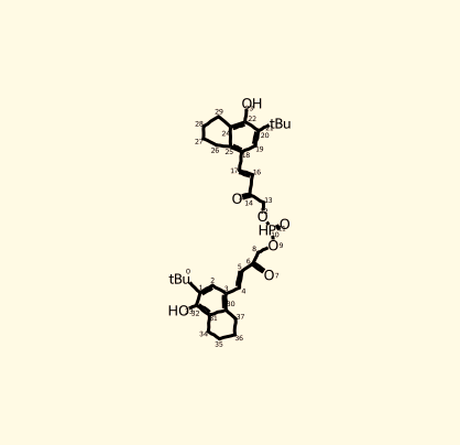 CC(C)(C)c1cc(C=CC(=O)CO[PH](=O)OCC(=O)C=Cc2cc(C(C)(C)C)c(O)c3c2CCCC3)c2c(c1O)CCCC2